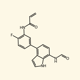 C=CC(=O)Nc1cc(-c2ccc(NC=O)c3[nH]ccc23)ccc1F